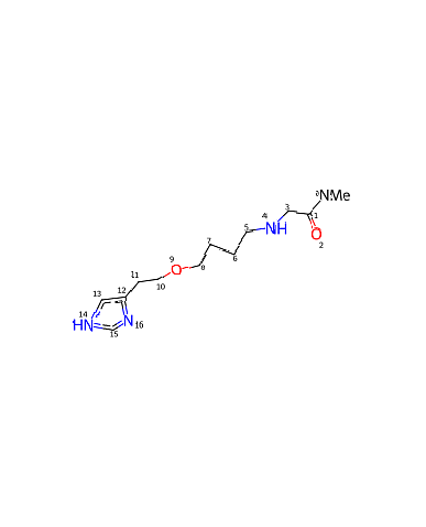 CNC(=O)CNCCCCOCCc1c[nH]cn1